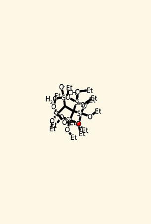 CCO[Si](OCC)(OCC)C(C([Si](OCC)(OCC)OCC)([Si](OCC)(OCC)OCC)[Si](OCC)(OCC)OCC)[Si](C)(C)[O]